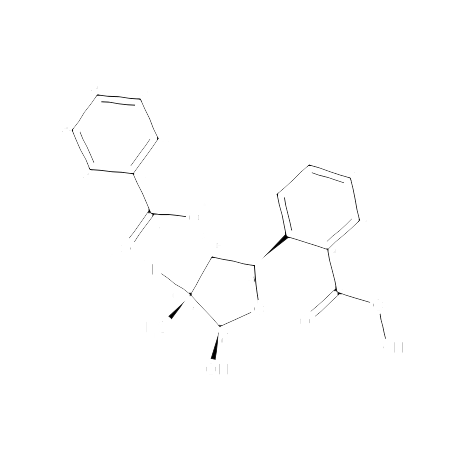 COC(=O)c1ccccc1[C@H]1O[C@@H](O)[C@](C)(F)[C@@H]1OC(=O)c1ccccc1